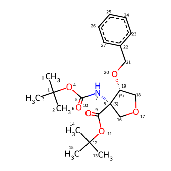 CC(C)(C)OC(=O)N[C@@]1(C(=O)OC(C)(C)C)COC[C@H]1OCc1ccccc1